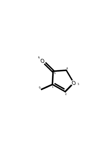 CC1=COCC1=O